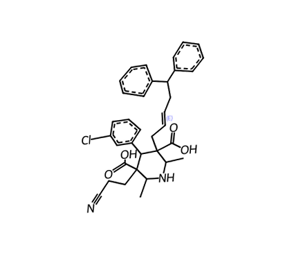 CC1NC(C)C(CCC#N)(C(=O)O)C(c2cccc(Cl)c2)C1(C/C=C/CC(c1ccccc1)c1ccccc1)C(=O)O